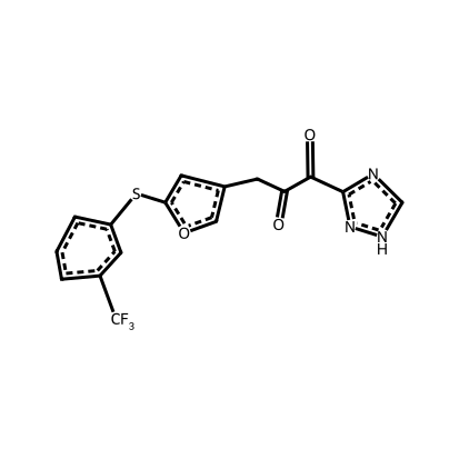 O=C(Cc1coc(Sc2cccc(C(F)(F)F)c2)c1)C(=O)c1nc[nH]n1